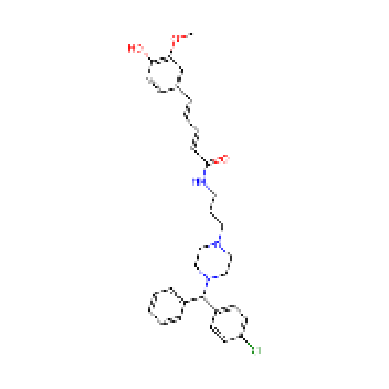 COc1cc(C=CC=CC(=O)NCCCN2CCN(C(c3ccccc3)c3ccc(Cl)cc3)CC2)ccc1O